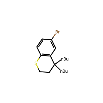 CCCCC1(CCCC)CCSc2ccc(Br)cc21